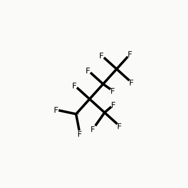 F[C](F)C(F)(C(F)(F)F)C(F)(F)C(F)(F)F